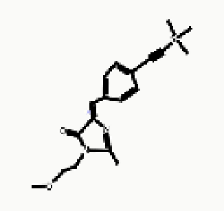 COCCN1C(=O)/C(=C/c2ccc(C#C[Si](C)(C)C)cc2)N=C1C